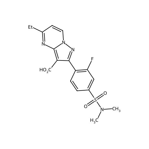 CCc1ccn2nc(-c3ccc(S(=O)(=O)N(C)C)cc3F)c(C(=O)O)c2n1